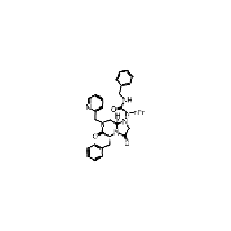 CCCN(C(=O)NCc1ccccc1)N1CC(=O)N2[C@@H](Cc3ccccc3)C(=O)N(Cc3ccccn3)C[C@@H]21